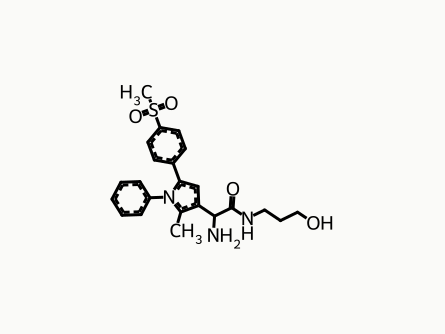 Cc1c(C(N)C(=O)NCCCO)cc(-c2ccc(S(C)(=O)=O)cc2)n1-c1ccccc1